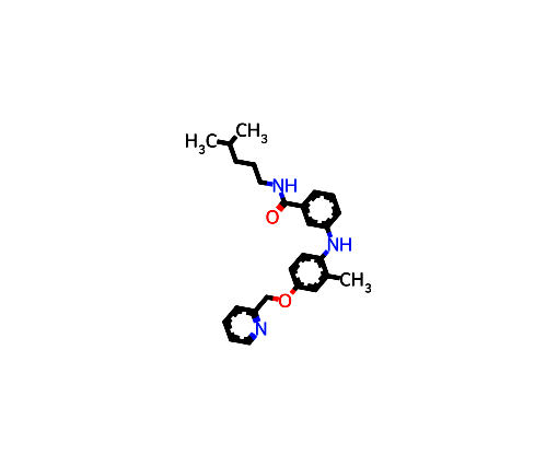 Cc1cc(OCc2ccccn2)ccc1Nc1cccc(C(=O)NCCCC(C)C)c1